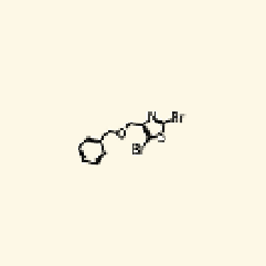 Brc1nc(COCc2ccccc2)c(Br)s1